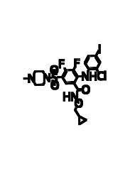 CN1CCN(S(=O)(=O)c2cc(C(=O)NOCC3CC3)c(Nc3ccc(I)cc3Cl)c(F)c2F)CC1